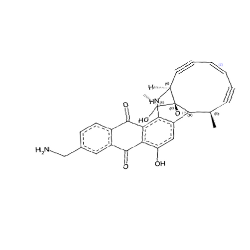 C[C@@H]1C#C/C=C\C#C[C@@H]2Nc3c(cc(O)c4c3C(=O)c3ccc(CN)cc3C4=O)[C@]13O[C@@]23[C@@H](C)O